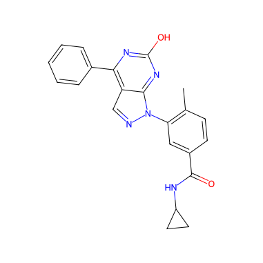 Cc1ccc(C(=O)NC2CC2)cc1-n1ncc2c(-c3ccccc3)nc(O)nc21